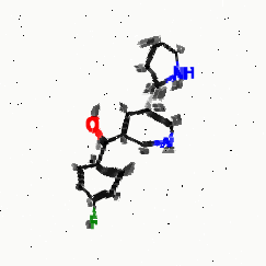 O=C(c1ccc(F)cc1)c1cncc([C@@H]2CCCN2)c1